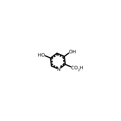 O=C(O)c1ncc(O)cc1O